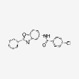 O=C(Nc1ccc2oc(-c3ccccc3)nc2c1)c1ccc(Cl)cc1